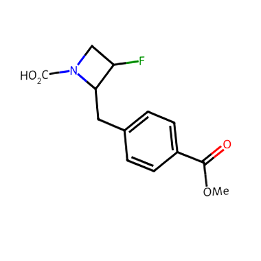 COC(=O)c1ccc(CC2C(F)CN2C(=O)O)cc1